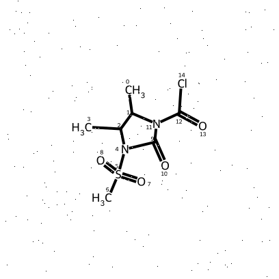 CC1C(C)N(S(C)(=O)=O)C(=O)N1C(=O)Cl